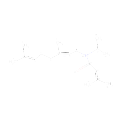 CC(C)=CCC/C(C)=C/CN(C(=O)C=C(C)C)C(C)C